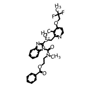 Cc1c(OCC(C)(F)F)ccnc1C[S+]([O-])c1nc2ccccc2n1C(=O)N(C)CCOC(=O)c1ccccc1